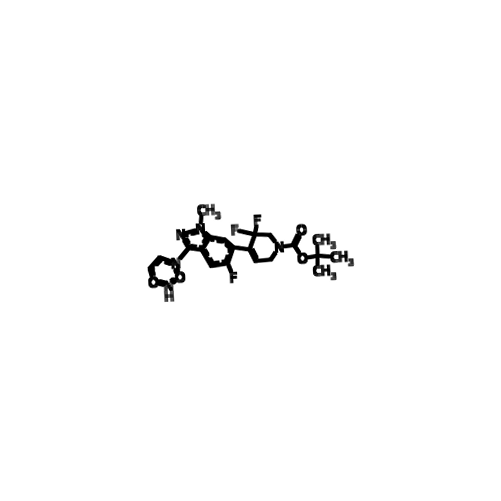 Cn1nc(-n2cco[nH]o2)c2cc(F)c(C3=CCN(C(=O)OC(C)(C)C)CC3(F)F)cc21